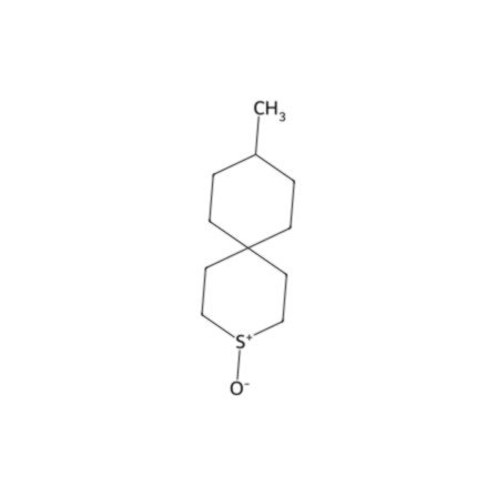 CC1CCC2(CC1)CC[S+]([O-])CC2